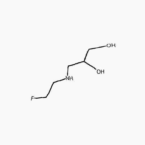 OCC(O)CNCCF